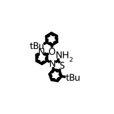 CC(C)(C)c1ccccc1Oc1ncccc1N1c2cccc(C(C)(C)C)c2SC1N